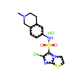 CN1CCc2cc(NS(=O)(=O)c3c(Cl)nc4sccn34)ccc2C1.Cl